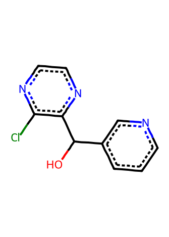 OC(c1cccnc1)c1nccnc1Cl